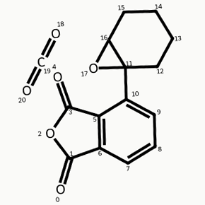 O=C1OC(=O)c2c1cccc2C12CCCCC1O2.O=C=O